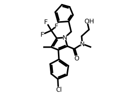 Cc1c(-c2ccc(Cl)cc2)c(C(=O)N(C)CCO)n(Cc2ccccc2)c1C(F)(F)F